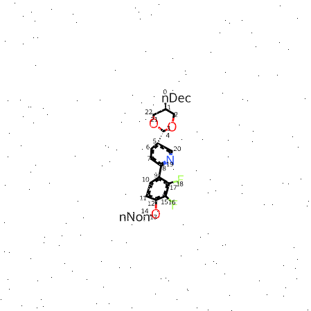 CCCCCCCCCC[C@H]1CO[C@H](c2ccc(-c3ccc(OCCCCCCCCC)c(F)c3F)nc2)OC1